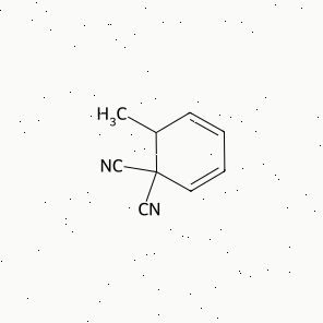 CC1C=CC=CC1(C#N)C#N